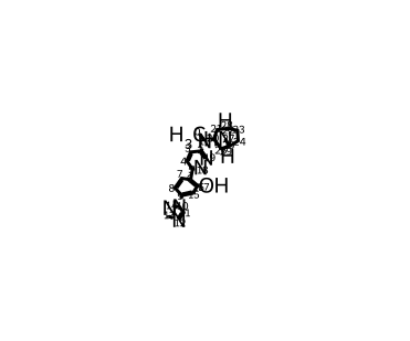 CN(c1ccc(-c2ccc(-n3cncn3)cc2O)nn1)C1C[C@H]2CC[C@@H](C1)N2